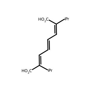 CC(C)C(=CC=CC=C(C(=O)O)C(C)C)C(=O)O